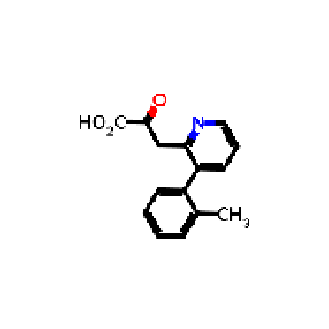 Cc1ccccc1-c1cccnc1CC(=O)C(=O)O